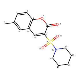 Cc1ccc2oc(=O)c(S(=O)(=O)N3CCCCC3)cc2c1